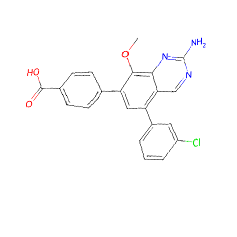 COc1c(-c2ccc(C(=O)O)cc2)cc(-c2cccc(Cl)c2)c2cnc(N)nc12